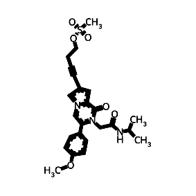 COc1ccc(-c2cn3cc(C#CCCOS(C)(=O)=O)cc3c(=O)n2CC(=O)NC(C)C)cc1